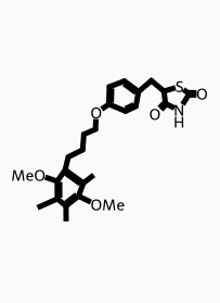 COc1c(C)c(C)c(OC)c(CCCCOc2ccc(CC3SC(=O)NC3=O)cc2)c1C